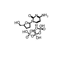 Nc1ccn([C@H]2CC[C@@H](CO)O2)c(=O)n1.O=P(O)(O)OP(=O)(O)OP(=O)(O)O